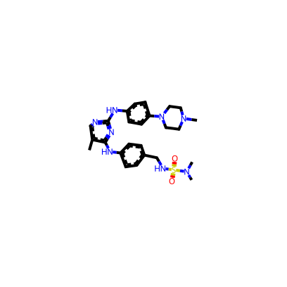 Cc1cnc(Nc2ccc(N3CCN(C)CC3)cc2)nc1Nc1ccc(CNS(=O)(=O)N(C)C)cc1